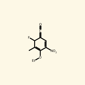 CCOC1=C(C)C(F)C(=C=O)C=C1[N+](=O)[O-]